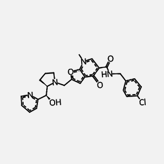 Cn1cc(C(=O)NCc2ccc(Cl)cc2)c(=O)c2cc(CN3CCC[C@@H]3[C@@H](O)c3ccccn3)oc21